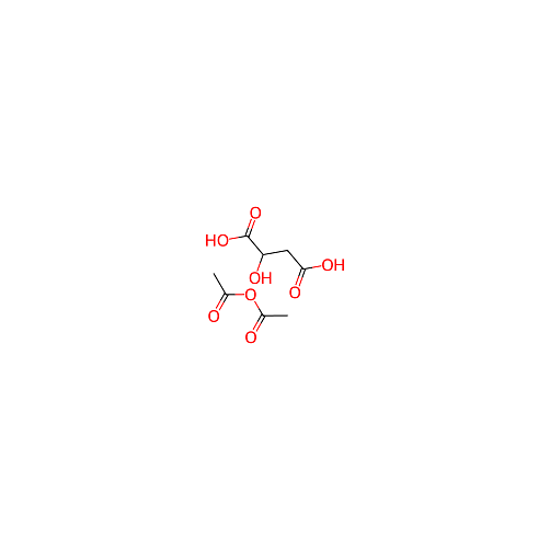 CC(=O)OC(C)=O.O=C(O)CC(O)C(=O)O